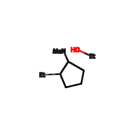 CCC1CCCC1NC.CCO